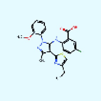 CCc1csc(-c2c(C)nn(-c3ccccc3OC)c2Nc2ccc(Cl)cc2C(=O)O)n1